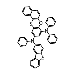 c1ccc(N(c2cc3c(c(N(c4ccccc4)c4ccccc4)c2)Oc2ccc4ccccc4c2S3)c2ccc3sc4ccccc4c3c2)cc1